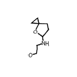 [O]CCNC1CCC2(CC2)O1